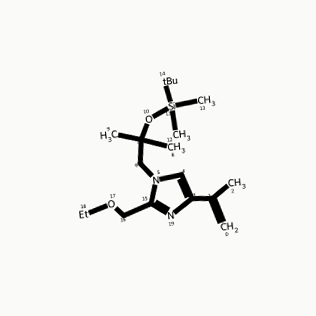 C=C(C)c1cn(CC(C)(C)O[Si](C)(C)C(C)(C)C)c(COCC)n1